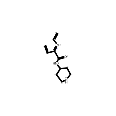 C=C/N=C(\C=C)C(=O)NC1CCNCC1